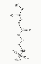 CC(C)OC(=O)/C=C/C(=O)OCCNS(=O)(=O)C(C)(C)C